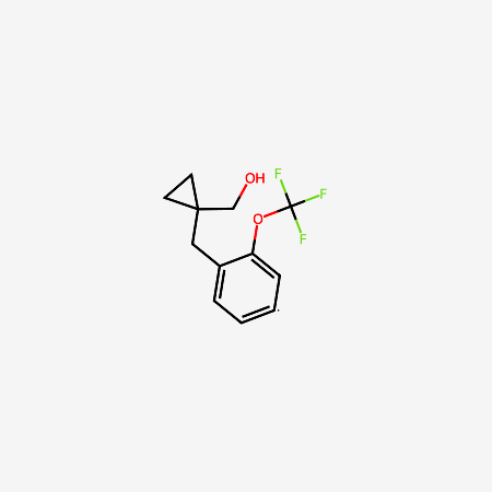 OCC1(Cc2cc[c]cc2OC(F)(F)F)CC1